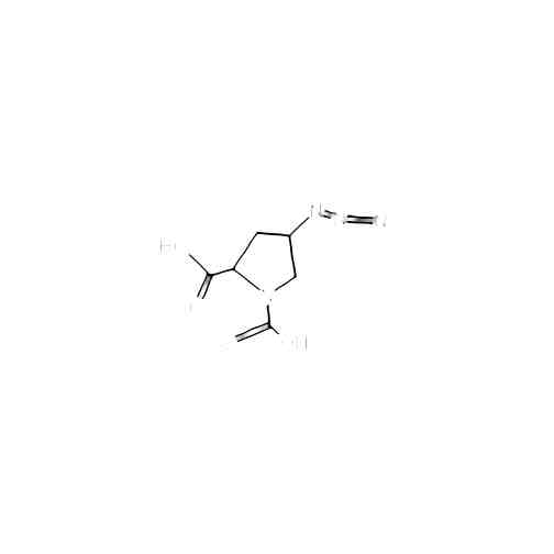 [N-]=[N+]=NC1CC(C(=O)O)N(C(=O)O)C1